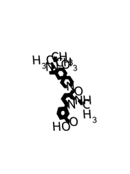 CCNc1nc(-c2cccc(C(=O)O)c2)ccc1C(=O)N1CCC2(CC1)CC(=O)c1c(cnn1C(C)(C)C)C2